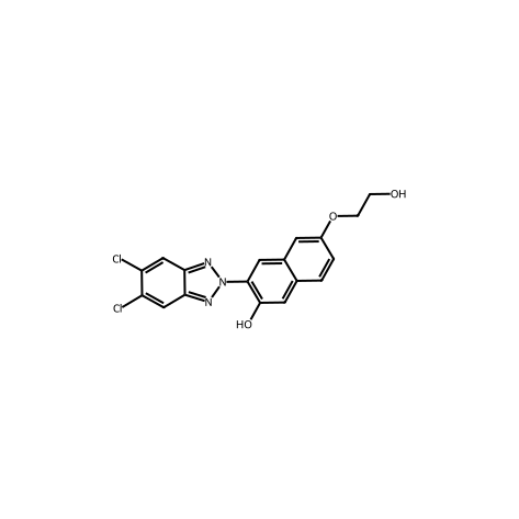 OCCOc1ccc2cc(O)c(-n3nc4cc(Cl)c(Cl)cc4n3)cc2c1